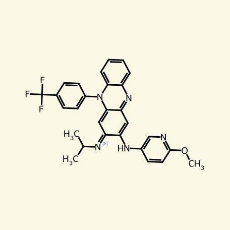 COc1ccc(Nc2cc3nc4ccccc4n(-c4ccc(C(F)(F)F)cc4)c-3c/c2=N\C(C)C)cn1